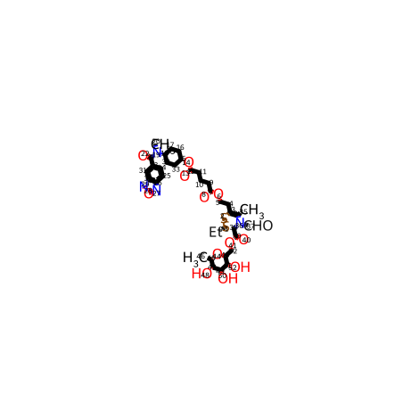 CCSS/C(CCOC(=O)CCCC(=O)O[C@H]1CC[C@H](N(C)C(=O)c2ccc3nonc3c2)CC1)=C(/C)N(C=O)CC(=O)OCC1OC(C)C(O)C(O)C1O